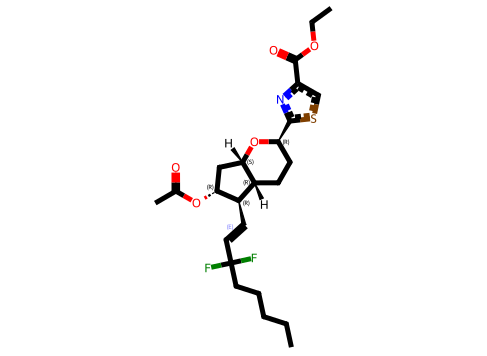 CCCCCC(F)(F)/C=C/[C@@H]1[C@H]2CC[C@H](c3nc(C(=O)OCC)cs3)O[C@H]2C[C@H]1OC(C)=O